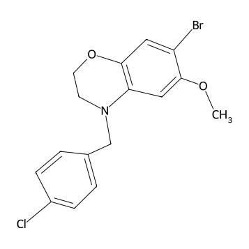 COc1cc2c(cc1Br)OCCN2Cc1ccc(Cl)cc1